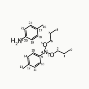 CCCON(OCCC)c1ccc(C)cc1.Cc1ccc(N)cc1